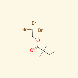 CCC(C)(C)C(=O)OCC(Br)(Br)Br